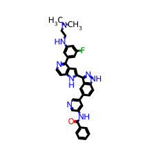 CN(C)CCNc1cc(F)cc(-c2nccc3[nH]c(-c4n[nH]c5ccc(-c6cncc(NC(=O)c7ccccc7)c6)cc45)cc23)c1